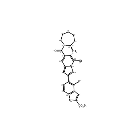 CCOC(=O)c1cc2c(F)c(-c3cc4nc(C(=O)N5CCCCC[C@H]5C)cc(CC)n4n3)ccc2o1